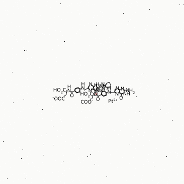 NC1(N)CCCCC1.Nc1nc2ncc(CNc3ccc(C(=O)NC(CCC(=O)[O-])C(=O)O)cc3)nc2c(=O)[nH]1.Nc1nc2ncc(CNc3ccc(C(=O)NC(CCC(=O)[O-])C(=O)O)cc3)nc2c(=O)[nH]1.[Pt+2]